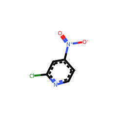 O=[N+]([O-])c1[c]cnc(Cl)c1